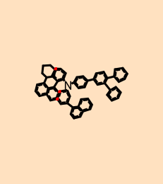 c1ccc(-c2ccc(-c3ccc(N(c4cccc(-c5cccc6ccccc56)c4)c4ccccc4-c4cccc5cccc(C6CCCCC6)c45)cc3)cc2-c2ccccc2)cc1